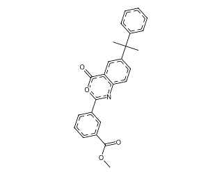 COC(=O)c1cccc(-c2nc3ccc(C(C)(C)c4ccccc4)cc3c(=O)o2)c1